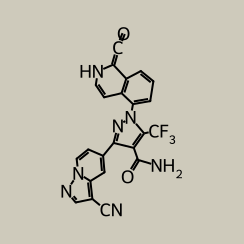 N#Cc1cnn2ccc(-c3nn(-c4cccc5c4C=CNC5=C=O)c(C(F)(F)F)c3C(N)=O)cc12